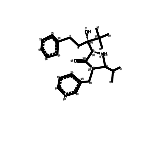 CC(C)C1N[C@@H]([C@@](O)(CCc2ccccc2)C(C)(C)C)C(=O)N1Cc1cccnc1